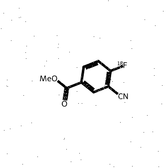 COC(=O)c1ccc([18F])c(C#N)c1